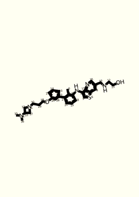 Cc1c(Nc2csc3cc(CNCCO)cnc23)cccc1-c1cccc(OCCCN2CC(N(C)C)C2)c1